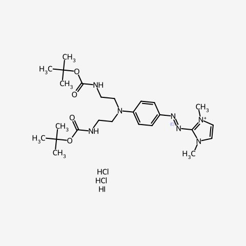 Cl.Cl.Cn1cc[n+](C)c1/N=N/c1ccc(N(CCNC(=O)OC(C)(C)C)CCNC(=O)OC(C)(C)C)cc1.I